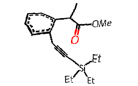 CC[Si](C#Cc1ccccc1C(C)C(=O)OC)(CC)CC